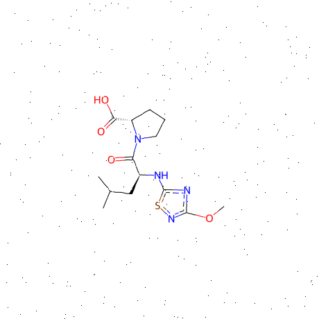 COc1nsc(N[C@@H](CC(C)C)C(=O)N2CCC[C@H]2C(=O)O)n1